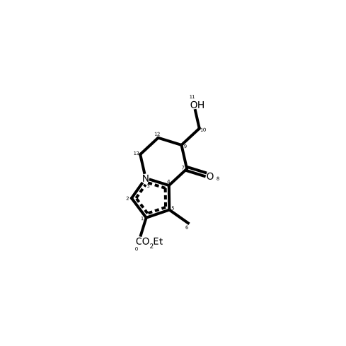 CCOC(=O)c1cn2c(c1C)C(=O)C(CO)CC2